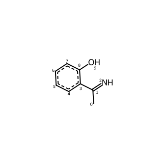 CC(=N)c1ccccc1O